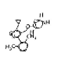 Cc1cccc(C)c1-c1noc(C2CC2)c1CO[C@@H]1C[C@@H]2C[C@H]1CN2